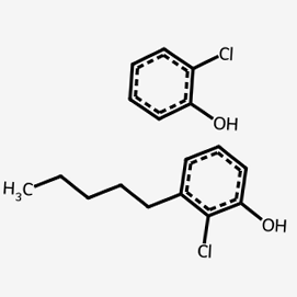 CCCCCc1cccc(O)c1Cl.Oc1ccccc1Cl